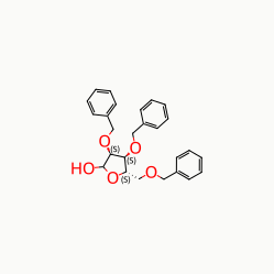 OC1O[C@@H](COCc2ccccc2)[C@H](OCc2ccccc2)[C@@H]1OCc1ccccc1